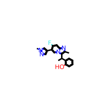 Cc1nc2cc(F)c(-c3cnn(C)c3)cn2c1C(C)c1ccccc1O